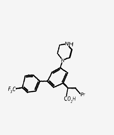 CC(C)CC(C(=O)O)c1cc(-c2ccc(C(F)(F)F)cc2)cc(N2CCNCC2)c1